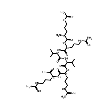 CC(C)[C@H](NC(=O)[C@H](CCCNC(=N)N)NC(=O)[C@@H](N)CCCNC(=N)N)C(=O)N[C@H](C(=O)N[C@@H](CCCNC(=N)N)C(=O)N[C@@H](CCCNC(=N)N)C(=O)O)C(C)C